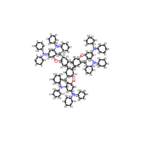 c1ccc(N(c2ccccc2)c2cc3c4c(c2)N(c2ccccc2)c2ccccc2B4c2cc4c(cc2O3)c2cc3c(cc2c2cc5c(cc42)Oc2cc(N(c4ccccc4)c4ccccc4)cc4c2B5c2ccccc2N4c2ccccc2)Oc2cc(N(c4ccccc4)c4ccccc4)cc4c2B3c2ccccc2N4c2ccccc2)cc1